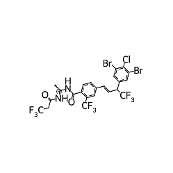 C[C@H](NC(=O)CC(F)(F)F)NC(=O)c1ccc(C=CC(c2cc(Br)c(Cl)c(Br)c2)C(F)(F)F)cc1C(F)(F)F